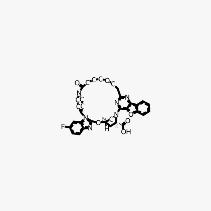 O=C(O)[C@@H]1C[C@H]2CN1c1nc(nc3c1oc1ccccc13)CCOCCCC(=O)N1CCC(CC1)n1c(nc3ccc(F)cc31)O2